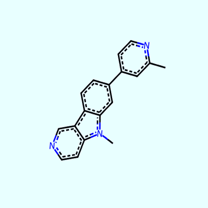 Cc1cc(-c2ccc3c4cnccc4n(C)c3c2)ccn1